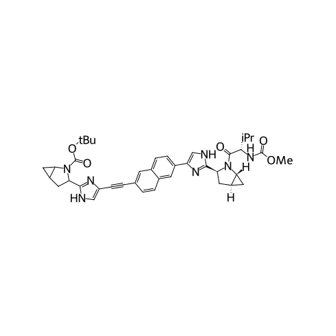 COC(=O)N[C@H](C(=O)N1[C@@H]2C[C@H]2C[C@H]1c1nc(-c2ccc3cc(C#Cc4c[nH]c(C5CC6CC6N5C(=O)OC(C)(C)C)n4)ccc3c2)c[nH]1)C(C)C